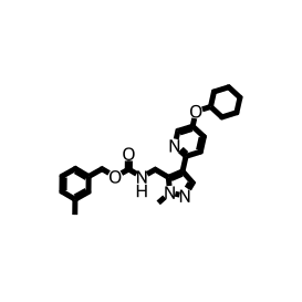 Cc1cccc(COC(=O)NCc2c(-c3ccc(OC4CCCCC4)cn3)cnn2C)c1